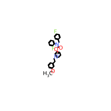 COc1cccc(CC[N+]23CCC(CC2)C(OC(=O)N(Cc2ccc(F)cc2)c2ccccc2F)C3)c1